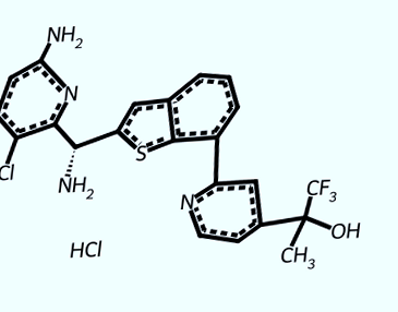 CC(O)(c1ccnc(-c2cccc3cc([C@H](N)c4nc(N)ccc4Cl)sc23)c1)C(F)(F)F.Cl